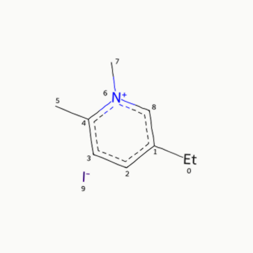 CCc1ccc(C)[n+](C)c1.[I-]